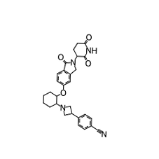 N#Cc1ccc(C2CN(C3CCCCC3Oc3ccc4c(c3)CN(C3CCC(=O)NC3=O)C4=O)C2)cc1